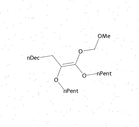 CCCCCCCCCCCC(OCCCCC)=C(OCCCCC)OCOC